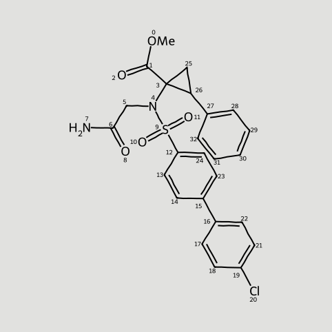 COC(=O)C1(N(CC(N)=O)S(=O)(=O)c2ccc(-c3ccc(Cl)cc3)cc2)CC1c1ccccc1